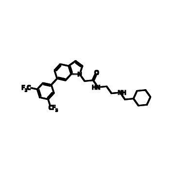 O=C(Cn1ccc2ccc(-c3cc(C(F)(F)F)cc(C(F)(F)F)c3)cc21)NCCNCC1CCCCC1